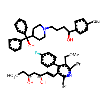 CC(C)(C)c1ccc(C(O)CCCN2CCC(C(O)(c3ccccc3)c3ccccc3)CC2)cc1.COCc1c(C(C)C)nc(C(C)C)c(/C=C/[C@@H](O)C[C@@H](O)CC(=O)O)c1-c1ccc(F)cc1